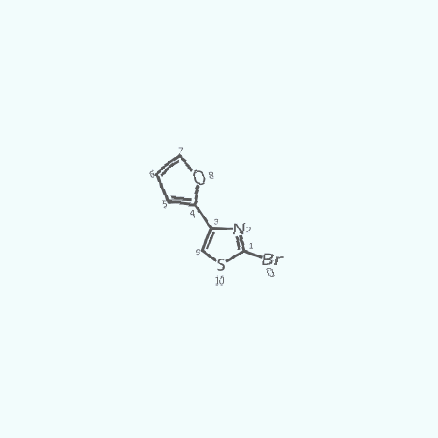 Brc1nc(-c2ccco2)cs1